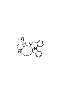 OC[C@H]1CCC[C@H]2CNCCc3c4n(c5ccccc35)-c3ccccc3COC4C[C@H]12